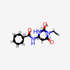 CCn1c(=O)cc(NC(=O)c2ccccc2)[nH]c1=O